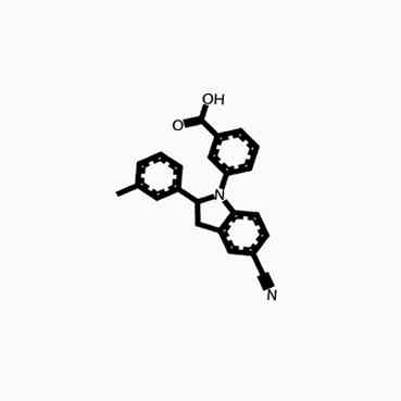 Cc1cccc(C2Cc3cc(C#N)ccc3N2c2cccc(C(=O)O)c2)c1